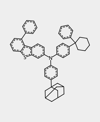 c1ccc(-c2cccc3sc4cc(N(c5ccc(C67CC8CC(CC(C8)C6)C7)cc5)c5ccc(C6(c7ccccc7)CCCCC6)cc5)ccc4c23)cc1